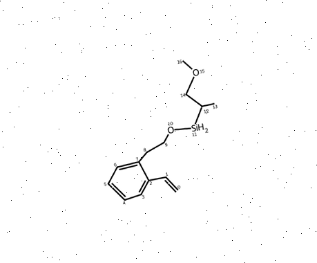 C=Cc1ccccc1CCO[SiH2]C(C)COC